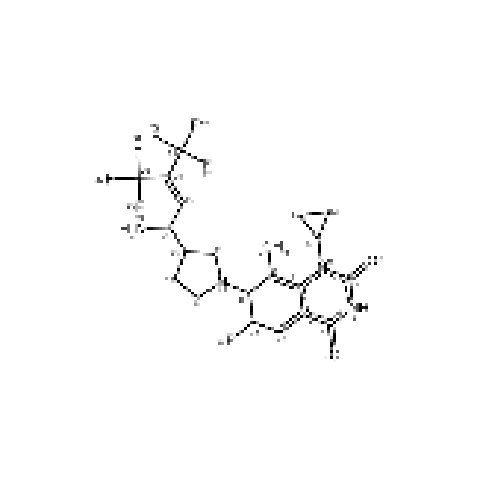 CC1=c2c(c(=O)[nH]c(=O)n2C2CC2)=CC(F)C1N1CCC(C(N)C=C(C(F)(F)F)C(F)(F)F)C1